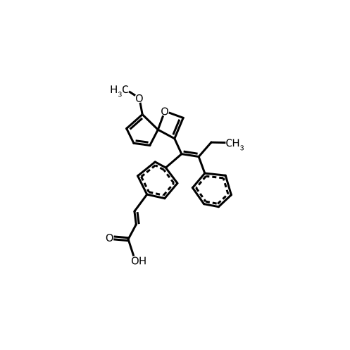 CC/C(=C(\C1=COC12C=CC=C2OC)c1ccc(/C=C/C(=O)O)cc1)c1ccccc1